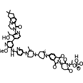 COc1ncc(-c2ccnc(N3CCn4c(cc5c4CC(C)(C)C5)C3=O)c2C(C)O)cc1Nc1ccc(N2CCN(C3CCN(c4ccc5c(c4)C(=O)N([C@H]4CCC(=O)N(C(C)OP(=O)(O)O)C4=O)C5=O)[C@@H](C)C3)C[C@@H]2C)cn1